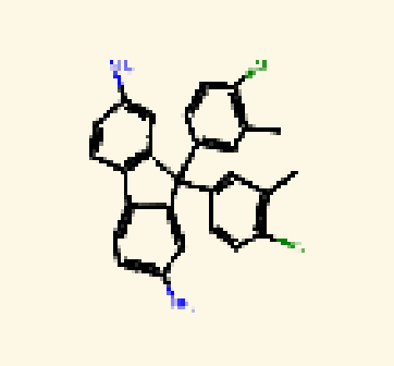 Cc1cc(C2(c3ccc(Cl)c(C)c3)c3cc(N)ccc3-c3ccc(N)cc32)ccc1Cl